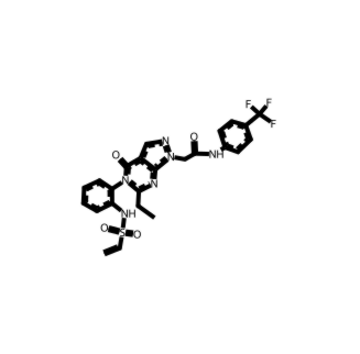 C=CS(=O)(=O)Nc1ccccc1-n1c(CC)nc2c(cnn2CC(=O)Nc2ccc(C(F)(F)F)cc2)c1=O